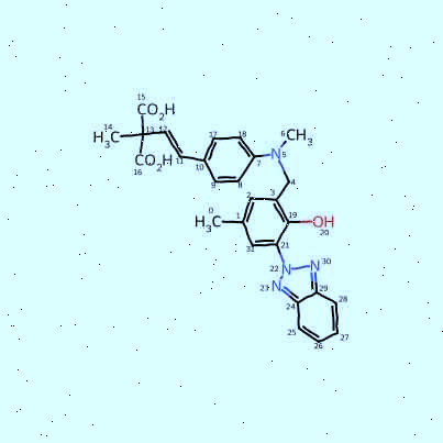 Cc1cc(CN(C)c2ccc(C=CC(C)(C(=O)O)C(=O)O)cc2)c(O)c(-n2nc3ccccc3n2)c1